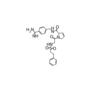 N=C(N)c1ccc(CNC(=O)C2C=CCN2C(=O)CNS(=O)(=O)CCc2ccccc2)cc1